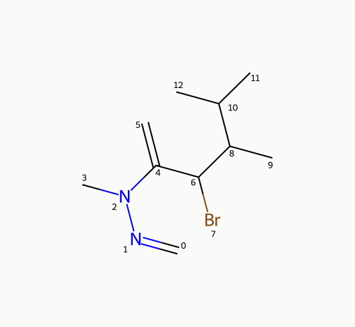 C=NN(C)C(=C)C(Br)C(C)C(C)C